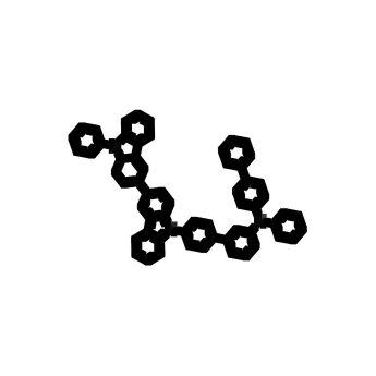 C1=C(c2ccc3c(c2)c2ccccc2n3-c2ccc(-c3cccc(N(c4ccccc4)c4ccc(-c5ccccc5)cc4)c3)cc2)C=C2c3ccccc3N(c3ccccc3)C2C1